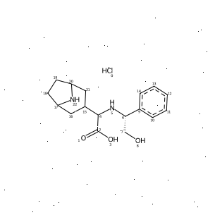 Cl.O=C(O)C(N[C@@H](CO)c1ccccc1)C1CC2CCC(C1)N2